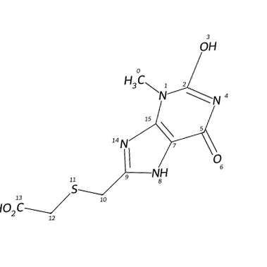 Cn1c(O)nc(=O)c2[nH]c(CSCC(=O)O)nc21